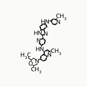 CCC1CN(c2ccc3nc(C)cc(Nc4ccc(-c5nc6cc(Nc7ccnc(C)c7)ccc6[nH]5)nc4)c3c2)CC(C)O1